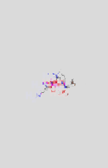 CC(C)C[C@H](N)C(=O)O.CO.CSCC[C@H](N)C(=O)O.NCCC[C@H](N)C(=O)O